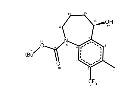 Cc1cc2c(cc1C(F)(F)F)N(C(=O)OC(C)(C)C)CCC[C@H]2O